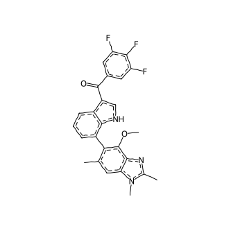 COc1c(-c2cccc3c(C(=O)c4cc(F)c(F)c(F)c4)c[nH]c23)c(C)cc2c1nc(C)n2C